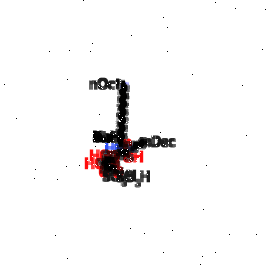 CCCCCCCC/C=C\CCCCCCCCCCCCCC(=O)N[C@@H](CO[C@@H]1O[C@H](COS(=O)(=O)O)[C@H](OS(=O)(=O)O)[C@H](O)[C@H]1O)[C@H](O)/C=C/CCCCCCCCCCCCC.[NaH].[NaH]